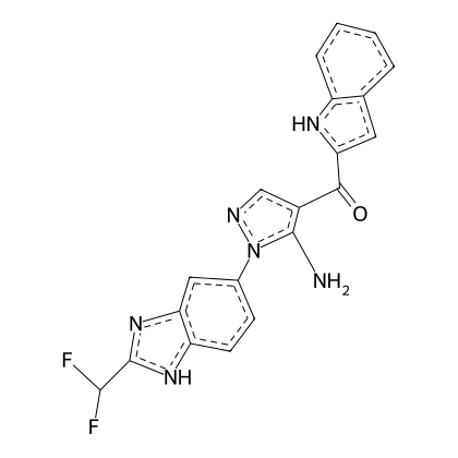 Nc1c(C(=O)c2cc3ccccc3[nH]2)cnn1-c1ccc2[nH]c(C(F)F)nc2c1